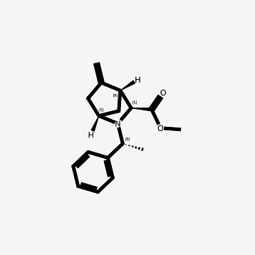 C=C1C[C@@H]2C[C@H]1[C@@H](C(=O)OC)N2[C@H](C)c1ccccc1